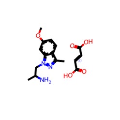 COc1ccc2c(C)nn(CC(C)N)c2c1.O=C(O)/C=C/C(=O)O